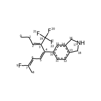 CC/C=C(/C(=C\C=C(/C)F)c1ccc2c(c1)CNC2)C(F)(F)F